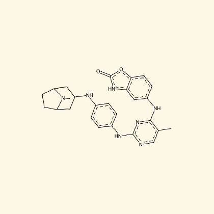 Cc1cnc(Nc2ccc(NC3CC4CCC(C3)N4C)cc2)nc1Nc1ccc2oc(=O)[nH]c2c1